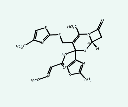 CON=CC(=O)NC1(c2csc(N)n2)S[C@H]2CC(=O)N2C(C(=O)O)=C1CSc1nc(C(=O)O)cs1